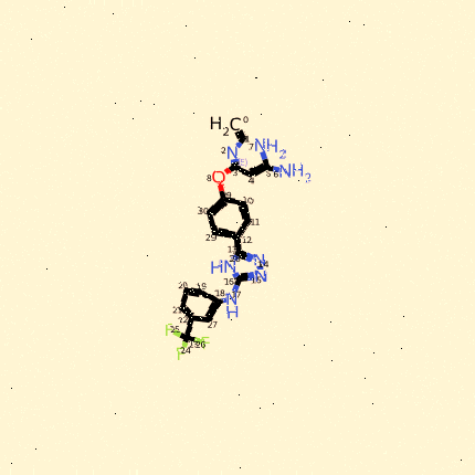 C=C/N=C(\C=C(N)N)Oc1ccc(-c2nnc(Nc3cccc(C(F)(F)F)c3)[nH]2)cc1